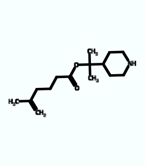 C=C(C)CCCC(=O)OC(C)(C)C1CCNCC1